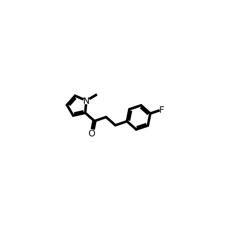 Cn1cccc1C(=O)CCc1ccc(F)cc1